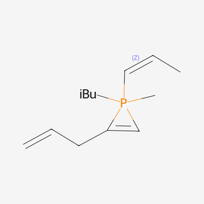 C=CCC1=CP1(C)(/C=C\C)C(C)CC